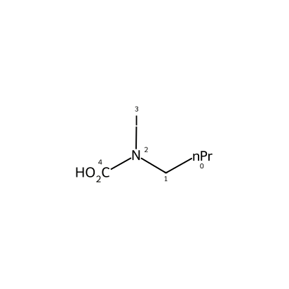 CCCCN(I)C(=O)O